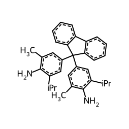 Cc1cc(C2(c3cc(C)c(N)c(C(C)C)c3)c3ccccc3-c3ccccc32)cc(C(C)C)c1N